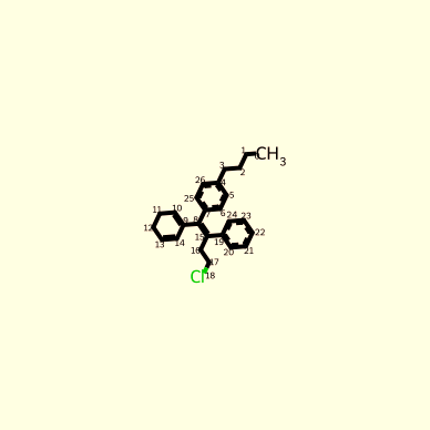 CCCCc1ccc(/C(C2=CCCC=C2)=C(/CCCl)c2ccccc2)cc1